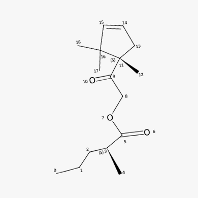 CCC[C@H](C)C(=O)OCC(=O)[C@@]1(C)CC=CC1(C)C